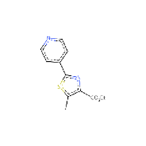 CCOC(=O)c1nc(-c2ccncc2)sc1C